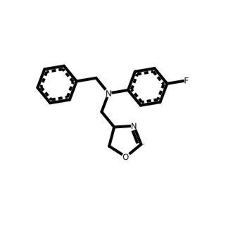 Fc1ccc(N(Cc2ccccc2)CC2CO[C]=N2)cc1